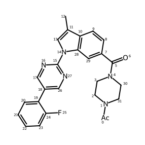 CC(=O)N1CCN(C(=O)c2ccc3c(C)cn(-c4ncc(-c5ccccc5F)cn4)c3c2)CC1